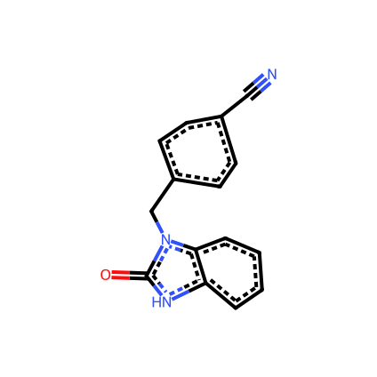 N#Cc1ccc(Cn2c(=O)[nH]c3ccccc32)cc1